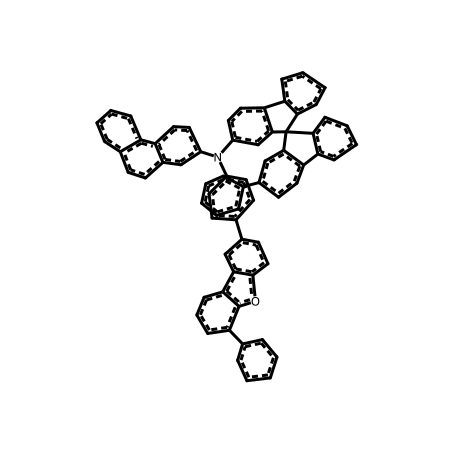 c1ccc(-c2ccc3c(c2)C2(c4ccccc4-3)c3ccccc3-c3ccc(N(c4ccc(-c5ccc6oc7c(-c8ccccc8)cccc7c6c5)cc4)c4ccc5c(ccc6ccccc65)c4)cc32)cc1